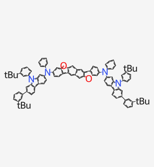 CC(C)(C)c1cccc(-c2ccc3c4ccc(N(c5ccccc5)c5ccc6c(c5)oc5cc7cc8c(cc7cc56)oc5cc(N(c6ccccc6)c6ccc7c9ccc(-c%10cccc(C(C)(C)C)c%10)cc9n(-c9cccc(C(C)(C)C)c9)c7c6)ccc58)cc4n(-c4cccc(C(C)(C)C)c4)c3c2)c1